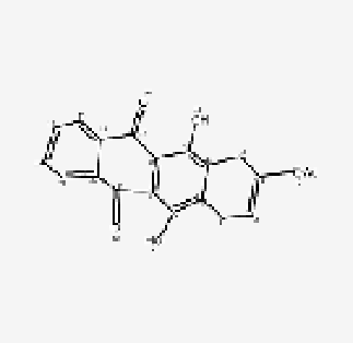 CC(=O)OC1=CCc2c(O)c3c(c(O)c2C1)C(=O)c1ccccc1C3=O